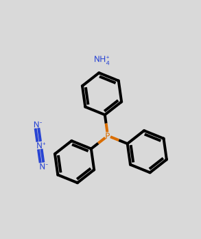 [N-]=[N+]=[N-].[NH4+].c1ccc(P(c2ccccc2)c2ccccc2)cc1